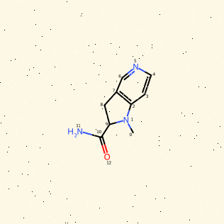 CN1c2ccncc2CC1C(N)=O